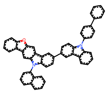 c1ccc(-c2ccc(-n3c4ccccc4c4cc(-c5ccc6c(c5)c5cc7oc8ccccc8c7cc5n6-c5cccc6ccccc56)ccc43)cc2)cc1